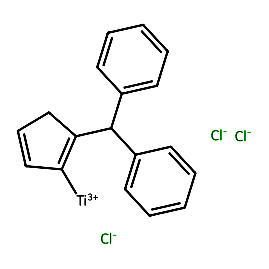 [Cl-].[Cl-].[Cl-].[Ti+3][C]1=C(C(c2ccccc2)c2ccccc2)CC=C1